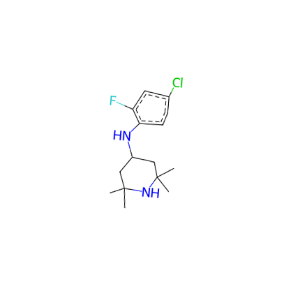 CC1(C)CC(Nc2ccc(Cl)cc2F)CC(C)(C)N1